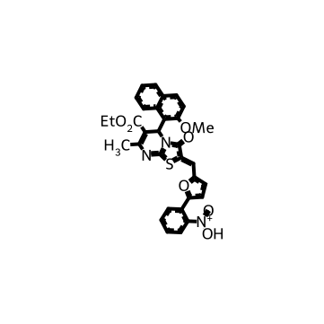 CCOC(=O)C1=C(C)N=c2s/c(=C\c3ccc(-c4ccccc4[N+](=O)O)o3)c(=O)n2C1c1c(OC)ccc2ccccc12